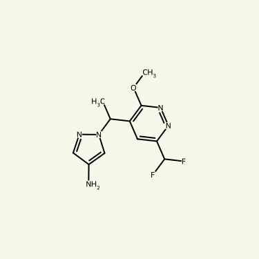 COc1nnc(C(F)F)cc1C(C)n1cc(N)cn1